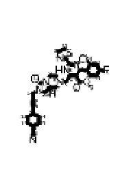 COC(=O)C1=C(CN2CCN3C(=O)N(CC#Cc4ccc(C#N)cc4)C[C@@H]3C2)NC(c2nccs2)=NC1c1ccc(F)cc1Cl